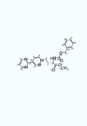 COC(=O)[C@H](CC[n+]1ccc(-c2ncccn2)cn1)NC(=O)OCc1ccccc1